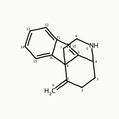 C=C1CCC2NCCC13C2=Nc1ccccc13